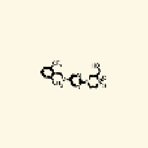 Cc1cccc(C(F)(F)F)c1COc1cnc(N2CCS(=O)(=O)C(CO)C2)nc1